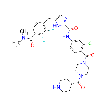 CN(C)C(=O)c1ccc(Cc2cnc(C(=O)Nc3ccc(C(=O)N4CCN(C(=O)C5CCNCC5)CC4)c(Cl)c3)[nH]2)c(F)c1F